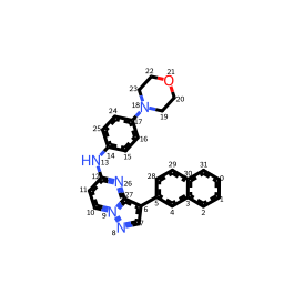 c1ccc2cc(-c3cnn4ccc(Nc5ccc(N6CCOCC6)cc5)nc34)ccc2c1